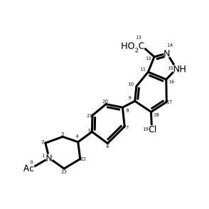 CC(=O)N1CCC(c2ccc(-c3cc4c(C(=O)O)n[nH]c4cc3Cl)cc2)CC1